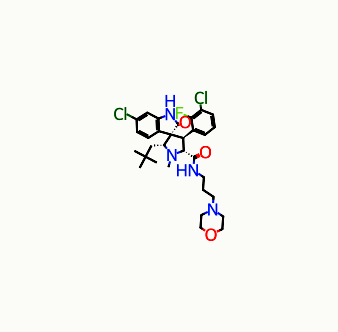 CN1[C@@H](C(=O)NCCCN2CCOCC2)[C@H](c2cccc(Cl)c2F)[C@@]2(C(=O)Nc3cc(Cl)ccc32)[C@H]1CC(C)(C)C